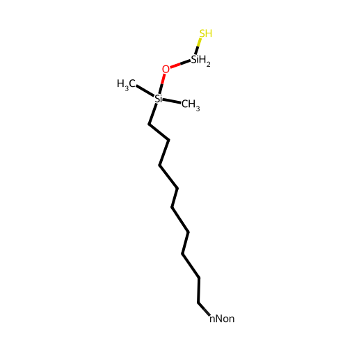 CCCCCCCCCCCCCCCCCC[Si](C)(C)O[SiH2]S